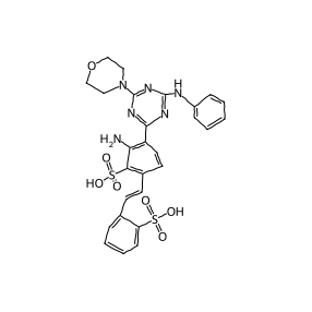 Nc1c(-c2nc(Nc3ccccc3)nc(N3CCOCC3)n2)ccc(C=Cc2ccccc2S(=O)(=O)O)c1S(=O)(=O)O